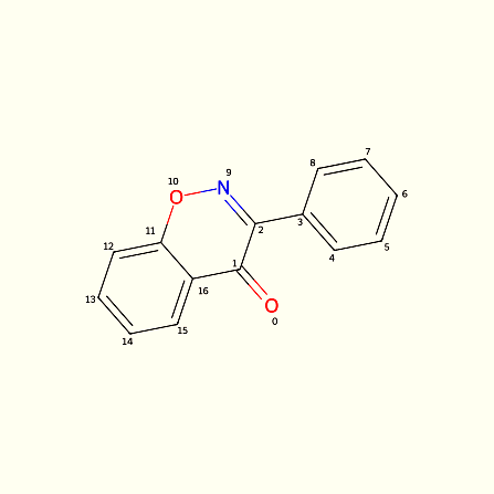 O=c1c(-c2ccccc2)noc2ccccc12